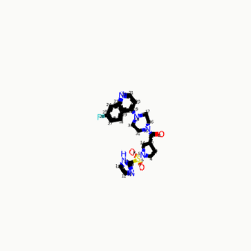 O=C(C1CCN(S(=O)(=O)c2ncc[nH]2)C1)N1CCN(c2ccnc3cc(F)ccc23)CC1